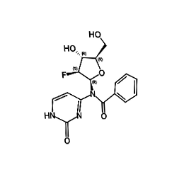 O=C(c1ccccc1)N(c1cc[nH]c(=O)n1)[C@@H]1O[C@H](CO)[C@@H](O)[C@@H]1F